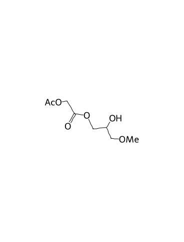 COCC(O)COC(=O)COC(C)=O